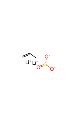 C=CC.O=S([O-])[O-].[Li+].[Li+]